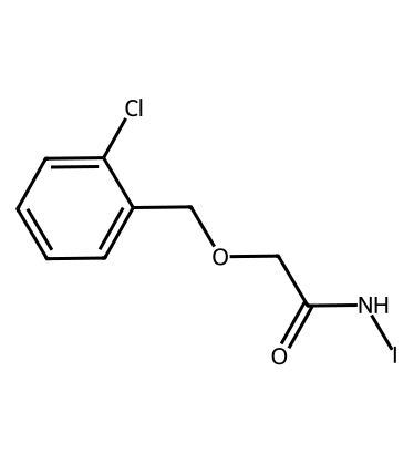 O=C(COCc1ccccc1Cl)NI